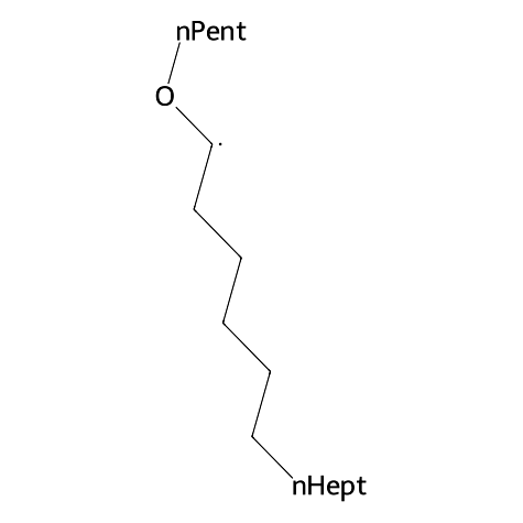 CCCCCCCCCCCC[CH]OCCCCC